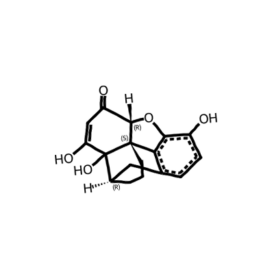 O=C1C=C(O)C2(O)[C@@H]3CCC[C@@]24c2c(ccc(O)c2O[C@@H]14)C3